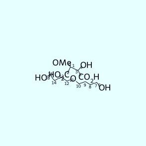 COC(C(=O)O)C(O)C(=O)O.OCCCCOCCCCO